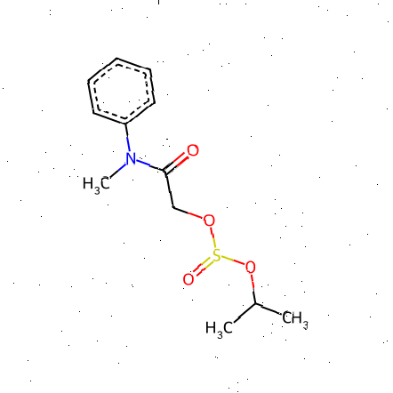 CC(C)OS(=O)OCC(=O)N(C)c1ccccc1